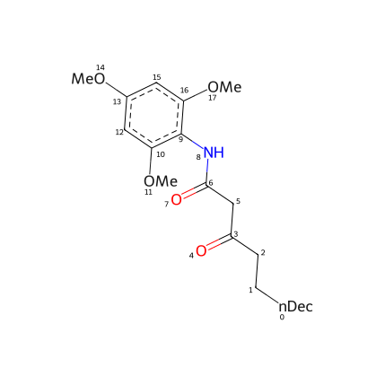 CCCCCCCCCCCCC(=O)CC(=O)Nc1c(OC)cc(OC)cc1OC